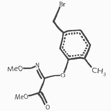 CON=C(Oc1cc(CBr)ccc1C)C(=O)OC